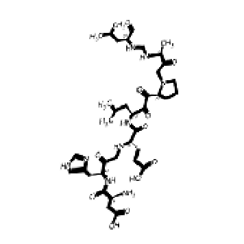 CC(C)C[C@@H](C=O)NCN[C@@H](C)C(=O)CN1CCC[C@H]1C(=O)C(=O)[C@H](CC(C)C)NC(=O)[C@H](CCC(=O)O)NCC(=O)[C@H](Cc1c[nH]cn1)NC(=O)[C@@H](N)CC(=O)O